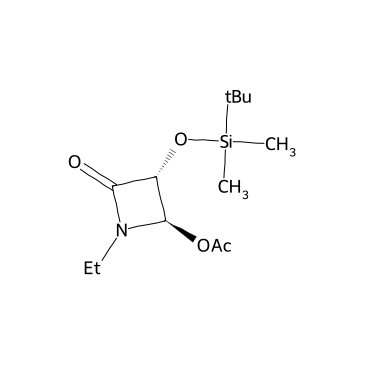 CCN1C(=O)[C@H](O[Si](C)(C)C(C)(C)C)[C@H]1OC(C)=O